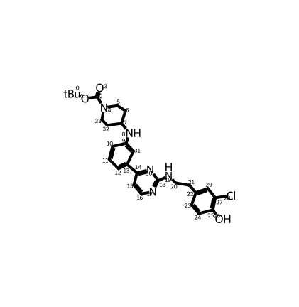 CC(C)(C)OC(=O)N1CCC(Nc2cccc(-c3ccnc(NCCc4ccc(O)c(Cl)c4)n3)c2)CC1